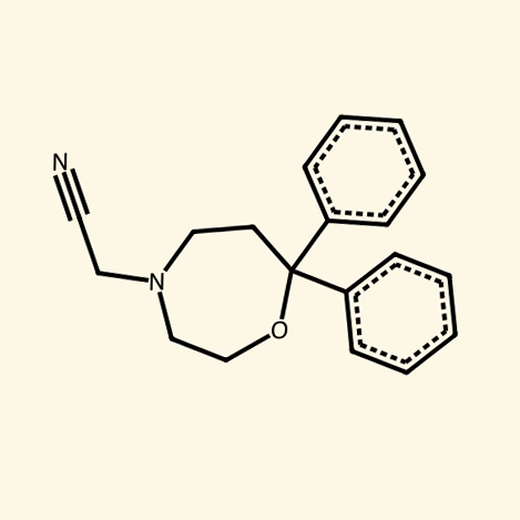 N#CCN1CCOC(c2ccccc2)(c2ccccc2)CC1